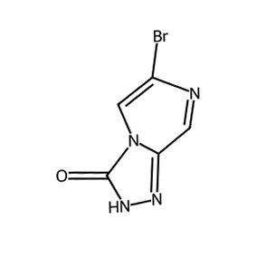 O=c1[nH]nc2cnc(Br)cn12